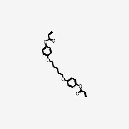 C=CC(=O)Oc1ccc(OCCCCCOc2ccc(OC(=O)C=C)cc2)cc1